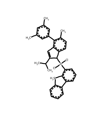 Cc1cc(C)cc(-c2c(C)ccc3c2C=C(C(C)C)[CH]3[Zr]([Cl])([Cl])[c]2cccc3c2[SiH2]c2ccccc2-3)c1